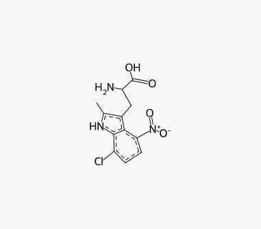 Cc1[nH]c2c(Cl)ccc([N+](=O)[O-])c2c1CC(N)C(=O)O